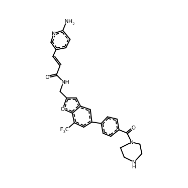 Nc1ccc(C=CC(=O)NCc2cc3cc(-c4ccc(C(=O)N5CCNCC5)cc4)cc(C(F)(F)F)c3o2)cn1